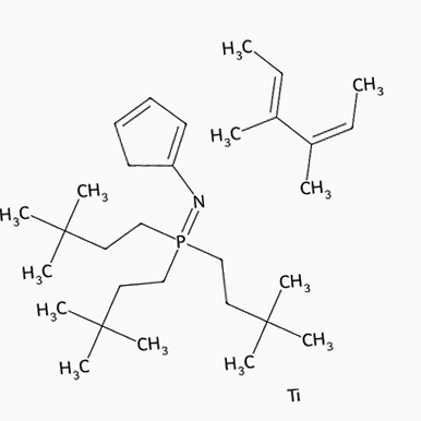 CC(C)(C)CCP(CCC(C)(C)C)(CCC(C)(C)C)=NC1=CC=CC1.CC=C(C)C(C)=CC.[Ti]